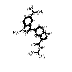 CC(C)NC(=O)c1c[nH]c2ncc(-c3nn(C)c4ccc(C(C)O)cc34)nc12